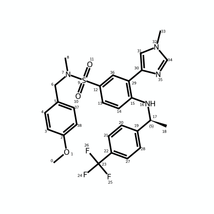 COc1ccc(CN(C)S(=O)(=O)c2ccc(N[C@@H](C)c3ccc(C(F)(F)F)cc3)c(-c3cn(C)cn3)c2)cc1